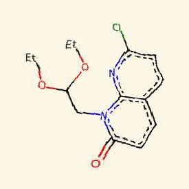 CCOC(Cn1c(=O)ccc2ccc(Cl)nc21)OCC